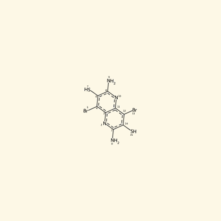 Nc1nc2c(Br)c(S)c(N)nc2c(Br)c1S